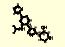 CC(C)Nc1cc(-n2cccn2)ncc1-c1cn([C@H]2CCNC[C@H]2O)nn1